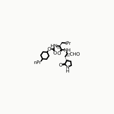 CCCC1CCC(OC(=O)N[C@@H](CC(C)C)C(=O)N[C@H](C=O)C[C@@H]2CCNC2=O)CC1